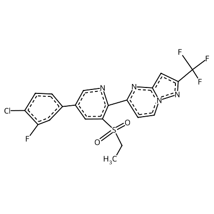 CCS(=O)(=O)c1cc(-c2ccc(Cl)c(F)c2)cnc1-c1ccn2nc(C(F)(F)F)cc2n1